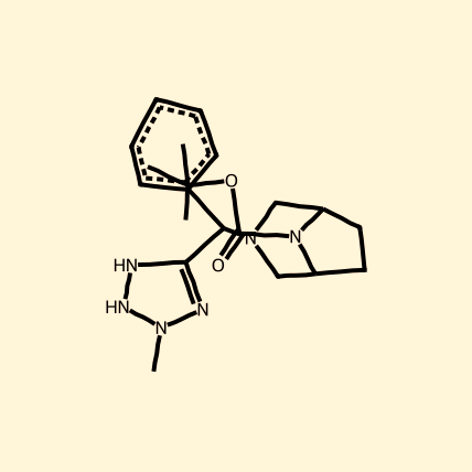 CN1N=C(C(c2ccccc2)N2CC3CCC(C2)N3C(=O)OC(C)(C)C)NN1